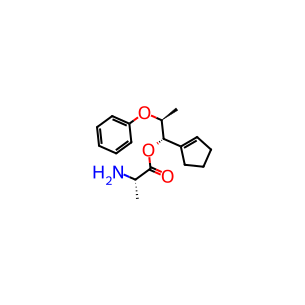 C[C@H](N)C(=O)O[C@@H](C1=CCCC1)[C@H](C)Oc1ccccc1